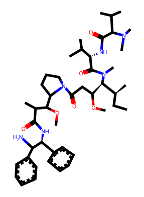 CC[C@H](C)[C@@H](C(CC(=O)N1CCCC1C(OC)C(C)C(=O)N[C@@H](c1ccccc1)C(N)c1ccccc1)OC)N(C)C(=O)[C@@H](NC(=O)C(C(C)C)N(C)C)C(C)C